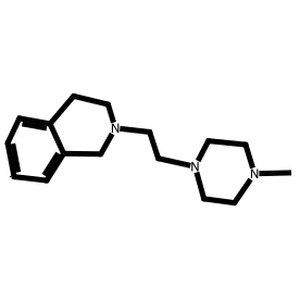 CN1CCN(CCN2CCc3cc[c]cc3C2)CC1